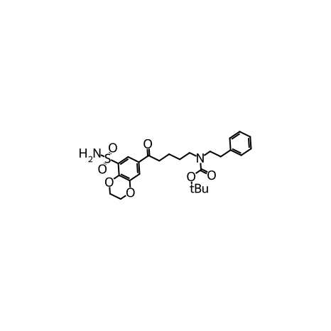 CC(C)(C)OC(=O)N(CCCCC(=O)c1cc2c(c(S(N)(=O)=O)c1)OCCO2)CCc1ccccc1